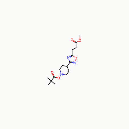 COC(=O)CCc1nc(C2CCN(OC(=O)C(C)(C)C)CC2)no1